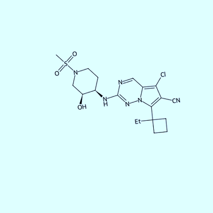 CCC1(c2c(C#N)c(Cl)c3cnc(N[C@@H]4CCN(S(C)(=O)=O)C[C@@H]4O)nn23)CCC1